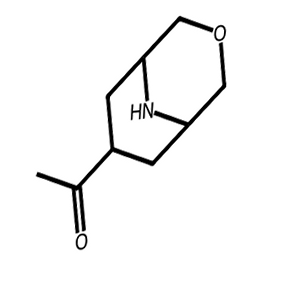 CC(=O)C1CC2COCC(C1)N2